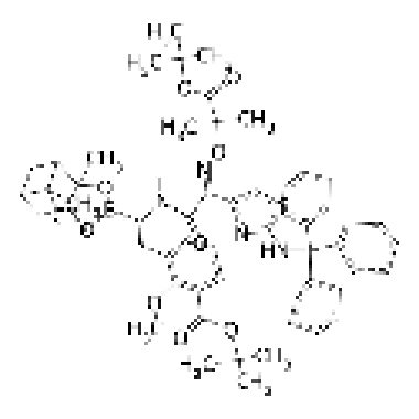 COc1c(C[C@H](NC(=O)C(=NOC(C)(C)C(=O)OC(C)(C)C)c2csc(NC(c3ccccc3)(c3ccccc3)c3ccccc3)n2)B2OC3CC4CC(C4(C)C)C3(C)O2)cccc1C(=O)OC(C)(C)C